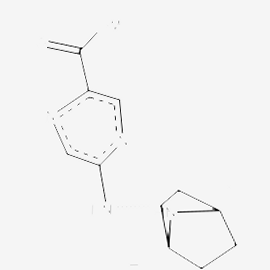 COC(=O)c1cnc(N[C@@H]2C[C@H]3CC[C@@H]2N3)cn1